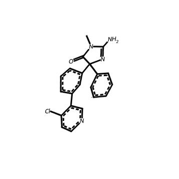 CN1C(=O)C(c2c[c]ccc2)(c2cccc(-c3cnccc3Cl)c2)N=C1N